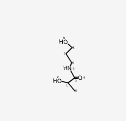 CC(O)C(=O)NCCCO